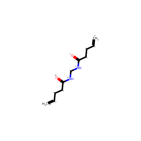 C=CCCC(=O)NCNC(=O)CCC=C